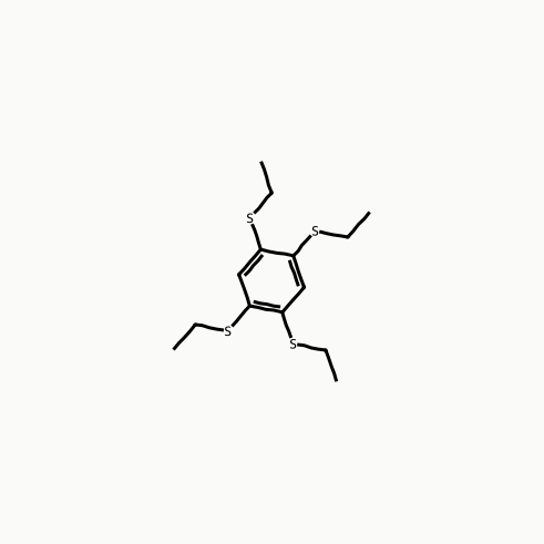 CCSc1cc(SCC)c(SCC)cc1SCC